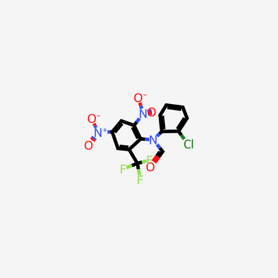 O=CN(c1ccccc1Cl)c1c([N+](=O)[O-])cc([N+](=O)[O-])cc1C(F)(F)F